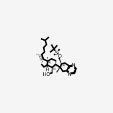 CC(C)CCC[C@@H](C)[C@H]1CC[C@H]2[C@H](CO)[C@@H]([C@@]3(C)Cc4nccnc4C[C@@H]3CO[Si](C)(C)C(C)(C)C)CC[C@]12C